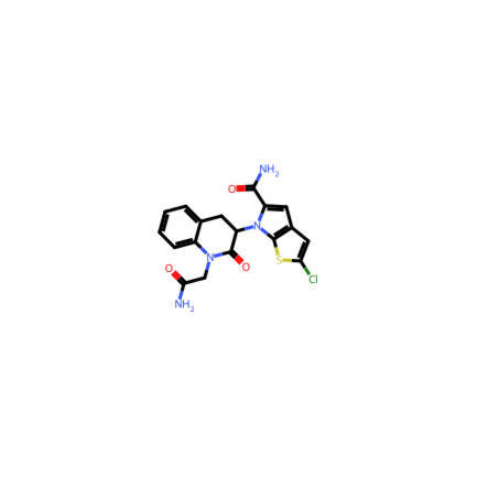 NC(=O)CN1C(=O)C(n2c(C(N)=O)cc3cc(Cl)sc32)Cc2ccccc21